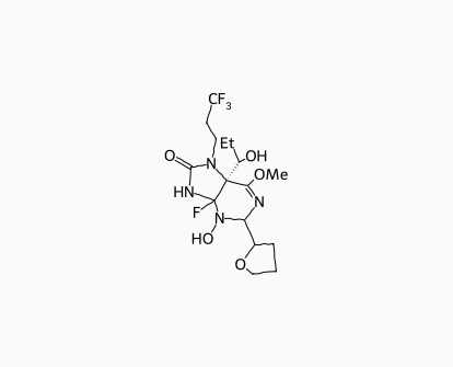 CCC(O)[C@]12C(OC)=NC(C3CCCO3)N(O)C1(F)NC(=O)N2CCC(F)(F)F